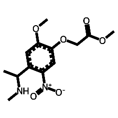 CNC(C)c1cc(OC)c(OCC(=O)OC)cc1[N+](=O)[O-]